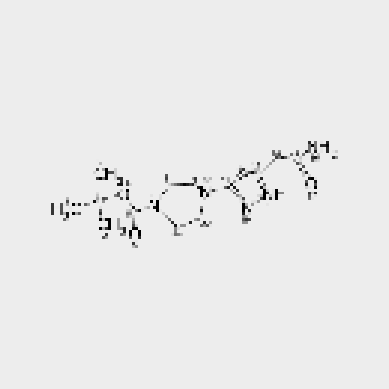 CC(C)(C)OC(=O)N1CCN(c2cc(CC(N)=O)[nH]n2)CC1